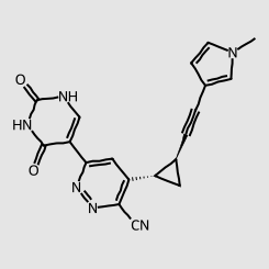 Cn1ccc(C#C[C@H]2C[C@@H]2c2cc(-c3c[nH]c(=O)[nH]c3=O)nnc2C#N)c1